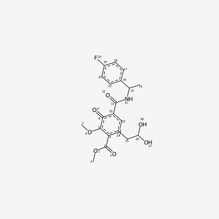 COC(=O)c1c(OC)c(=O)c(C(=O)NC(C)c2ccc(F)cc2)cn1CC(O)O